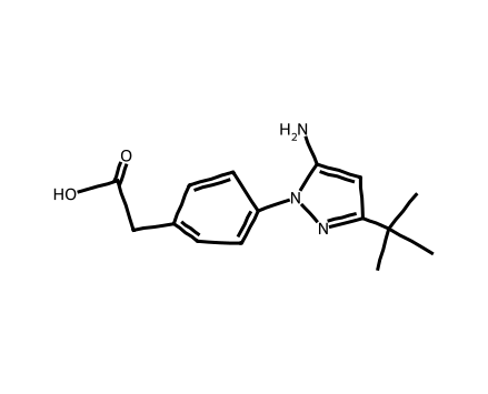 CC(C)(C)c1cc(N)n(-c2ccc(CC(=O)O)cc2)n1